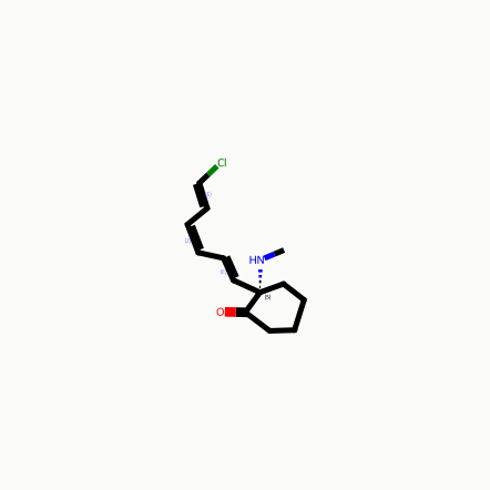 CN[C@]1(/C=C/C=C\C=C\Cl)CCCCC1=O